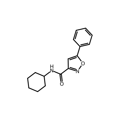 O=C(NC1CCCCC1)c1cc(-c2ccccc2)on1